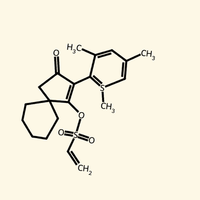 C=CS(=O)(=O)OC1=C(C2=S(C)C=C(C)C=C2C)C(=O)CC12CCCCC2